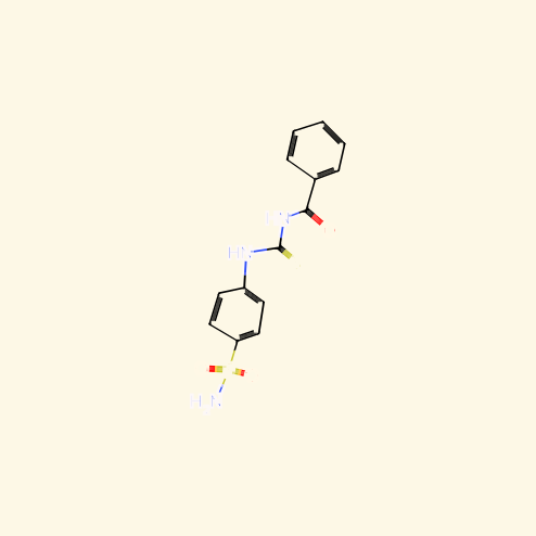 NS(=O)(=O)c1ccc(NC(=S)NC(=O)c2ccccc2)cc1